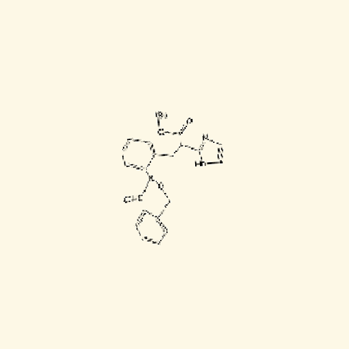 CC(C)(C)OC(=O)C(Cc1ccccc1N(C=O)OCc1ccccc1)c1ncc[nH]1